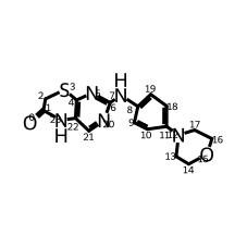 O=C1CSc2nc(Nc3ccc(N4CCOCC4)cc3)ncc2N1